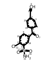 C#Cc1ccc(C(=O)c2ccc(Cl)c(S(N)(=O)=O)c2)cc1